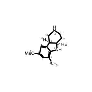 COc1cc2c(c(C(F)(F)F)c1)N[C@@H]1CCNC[C@H]21